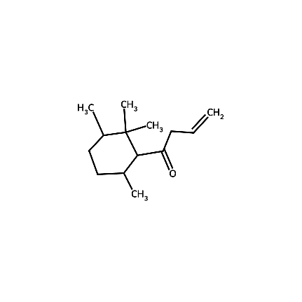 C=CCC(=O)C1C(C)CCC(C)C1(C)C